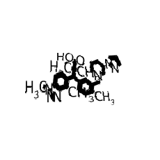 Cc1ccc(C(c2ccc3c(nnn3C)c2C)C(C)(C)C(=O)O)cc1CN1CCC[C@H](n2cccn2)C1